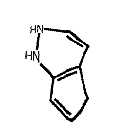 C1=CC2=C(C=CNN2)C1